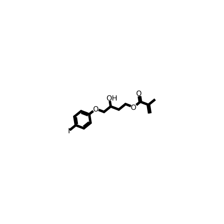 C=C(C)C(=O)OCCC(O)COc1ccc(I)cc1